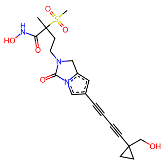 CC(CCN1Cc2cc(C#CC#CC3(CO)CC3)cn2C1=O)(C(=O)NO)S(C)(=O)=O